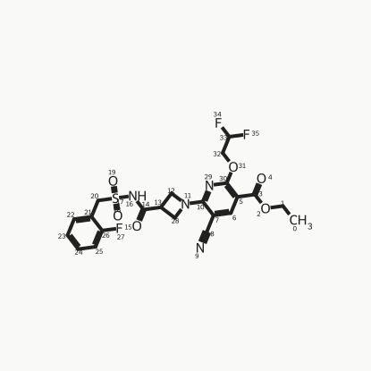 CCOC(=O)c1cc(C#N)c(N2CC(C(=O)NS(=O)(=O)Cc3ccccc3F)C2)nc1OCC(F)F